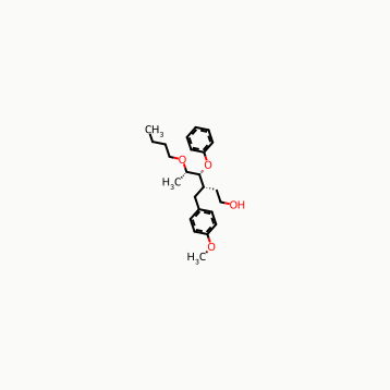 CCCCO[C@@H](C)[C@H](Oc1ccccc1)[C@H](CCO)Cc1ccc(OC)cc1